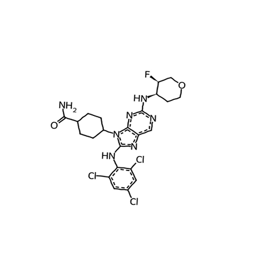 NC(=O)C1CCC(n2c(Nc3c(Cl)cc(Cl)cc3Cl)nc3cnc(N[C@@H]4CCOC[C@@H]4F)nc32)CC1